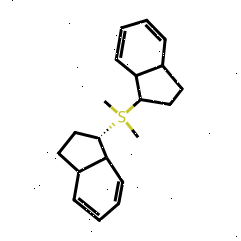 CS(C)(C1CCC2C=CC=CC21)[C@H]1CCC2C=CC=CC21